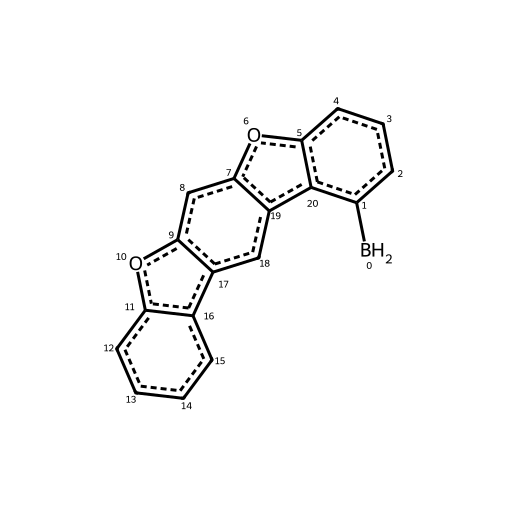 Bc1cccc2oc3cc4oc5ccccc5c4cc3c12